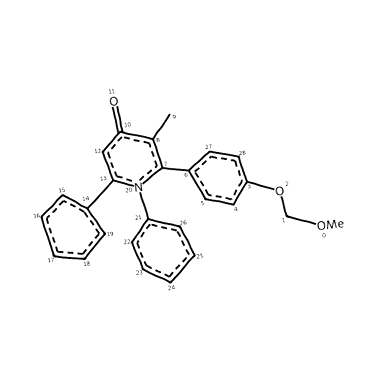 COCOc1ccc(-c2c(C)c(=O)cc(-c3ccccc3)n2-c2ccccc2)cc1